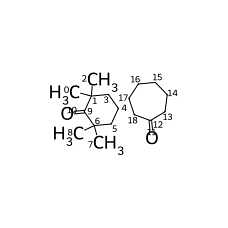 CC1(C)CCCC(C)(C)C1=O.O=C1CCCCCC1